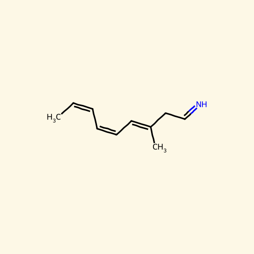 C\C=C/C=C\C=C(/C)CC=N